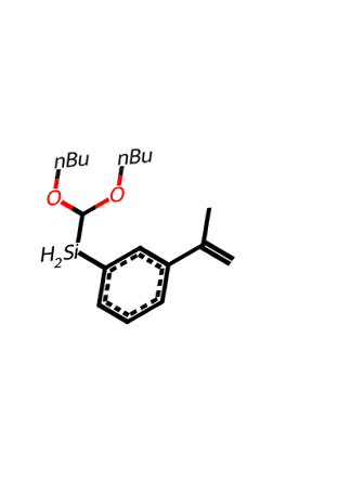 C=C(C)c1cccc([SiH2]C(OCCCC)OCCCC)c1